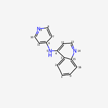 c1ccc2c(Nc3ccncc3)ccnc2c1